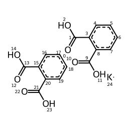 O=C(O)c1ccccc1C(=O)O.O=C(O)c1ccccc1C(=O)O.[K]